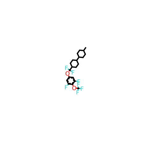 CC1CCC(C2CCC(C(F)(F)Oc3cc(F)c(OC(F)(F)F)c(F)c3)CC2)CC1